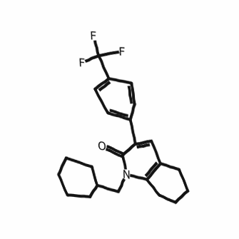 O=c1c(-c2ccc(C(F)(F)F)cc2)cc2c(n1CC1CCCCC1)CCCC2